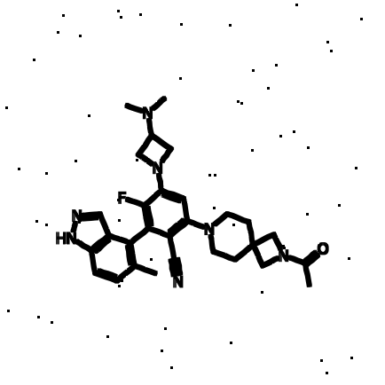 CC(=O)N1CC2(CCN(c3cc(N4CC(N(C)C)C4)c(F)c(-c4c(C)ccc5[nH]ncc45)c3C#N)CC2)C1